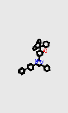 C1=CC(c2cc(-c3ccccc3)nc(-c3ccc4c(c3)Oc3ccccc3C43c4ccccc4-c4ccccc43)n2)CC=C1c1ccccc1